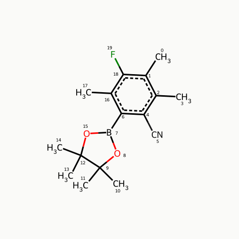 Cc1c(C)c(C#N)c(B2OC(C)(C)C(C)(C)O2)c(C)c1F